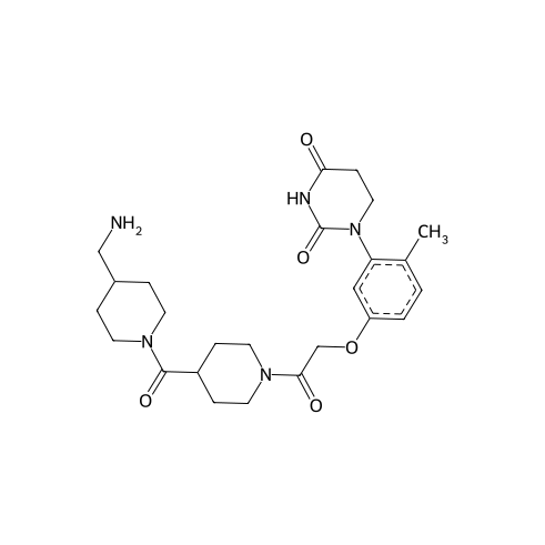 Cc1ccc(OCC(=O)N2CCC(C(=O)N3CCC(CN)CC3)CC2)cc1N1CCC(=O)NC1=O